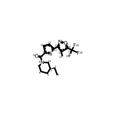 CC[C@H]1CCCN(C(=O)c2ccc(-c3noc(C(F)(F)F)c3C)s2)C1